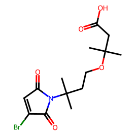 CC(C)(CC(=O)O)OCCC(C)(C)N1C(=O)C=C(Br)C1=O